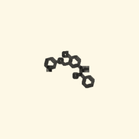 O=C(Nc1ccc(Cl)c(COc2cccnc2)c1)c1ccccc1